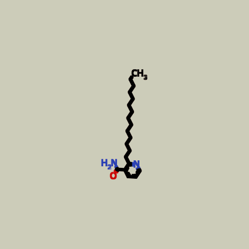 CCCCCCCCCCCCCCc1ncccc1C(N)=O